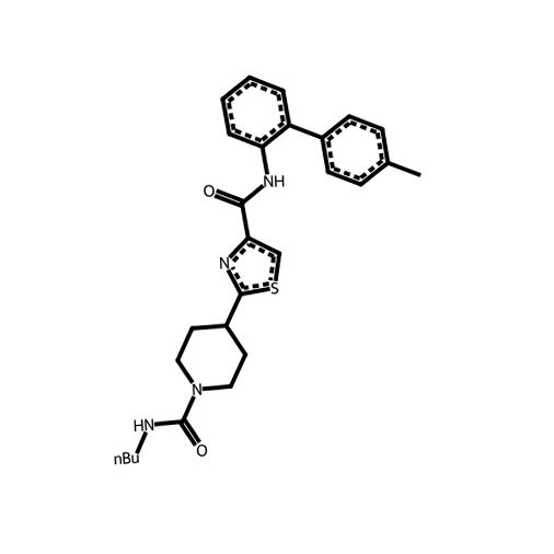 CCCCNC(=O)N1CCC(c2nc(C(=O)Nc3ccccc3-c3ccc(C)cc3)cs2)CC1